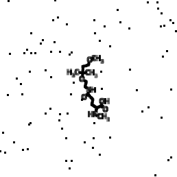 CNC(CCC(=O)NCCOC(C)(C)CCOC)C(=O)O